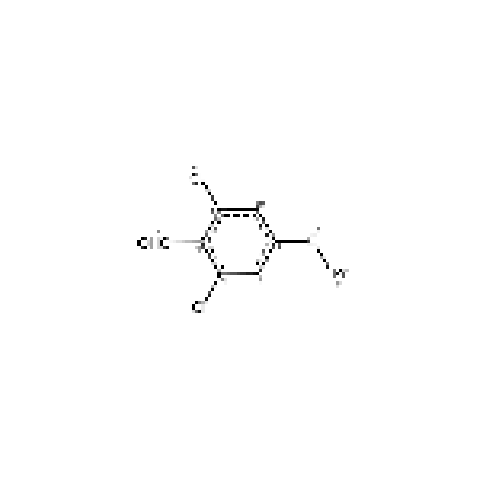 CC(C)Oc1cc(Cl)c(C=O)c(Cl)c1